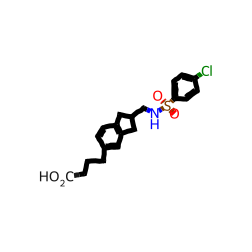 O=C(O)CCCc1ccc2c(c1)CC(CNS(=O)(=O)c1ccc(Cl)cc1)C2